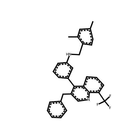 Cc1ccc(CNc2cccc(-c3c(Cc4ccccc4)cnc4c(C(F)(F)F)cccc34)c2)c(C)c1